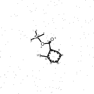 C[Si](C)(C)OC(=O)c1ccccc1I